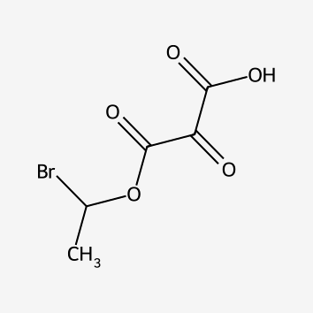 CC(Br)OC(=O)C(=O)C(=O)O